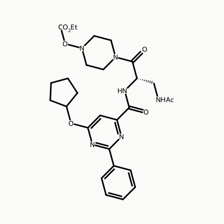 CCOC(=O)ON1CCN(C(=O)[C@H](CNC(C)=O)NC(=O)c2cc(OC3CCCC3)nc(-c3ccccc3)n2)CC1